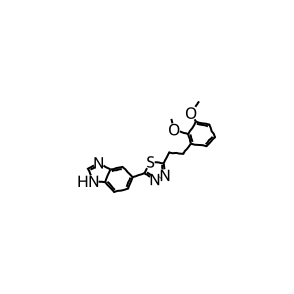 COc1cccc(CCc2nnc(-c3ccc4[nH]cnc4c3)s2)c1OC